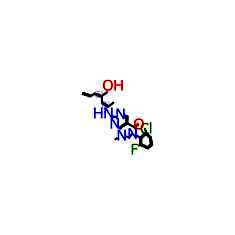 C=C/C=C(\C=C(/C)Nc1ncc2c(n1)N(C)CN(c1c(F)cccc1Cl)C2=O)CO